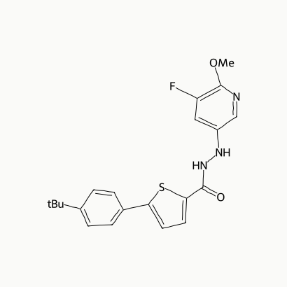 COc1ncc(NNC(=O)c2ccc(-c3ccc(C(C)(C)C)cc3)s2)cc1F